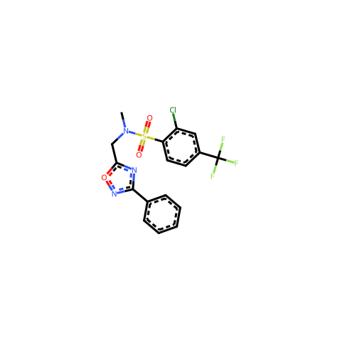 CN(Cc1nc(-c2ccccc2)no1)S(=O)(=O)c1ccc(C(F)(F)F)cc1Cl